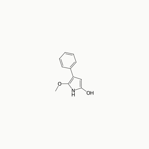 COc1[nH]c(O)cc1-c1ccccc1